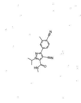 CNC(=O)c1c(C#N)c(-c2ccc(C#N)c(C)c2)nn1C(C)C